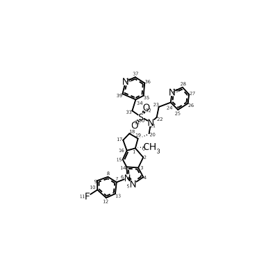 C[C@]12Cc3cnn(-c4ccc(F)cc4)c3C=C1CC[C@@H]2CN(CCc1ccccn1)S(=O)(=O)Cc1cccnc1